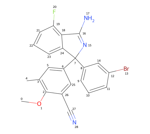 COc1c(C)cc(C2(c3cccc(Br)c3)N=C(N)c3c(F)cccc32)cc1C#N